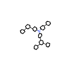 c1ccc(-c2ccc(N(c3ccc(-c4cccc(-c5ccccc5)c4)cc3)c3ccc(-c4cc(-c5ccccc5)cc(-c5ccccc5)c4)cc3)cc2)cc1